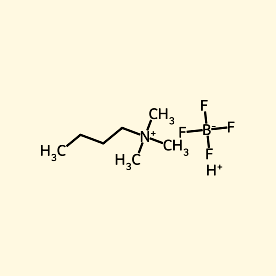 CCCC[N+](C)(C)C.F[B-](F)(F)F.[H+]